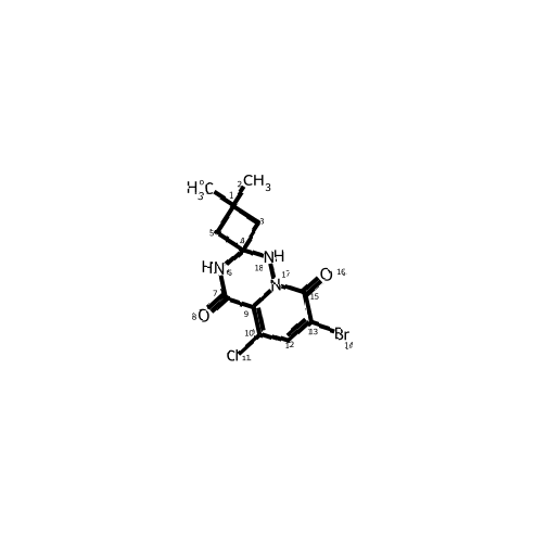 CC1(C)CC2(C1)NC(=O)c1c(Cl)cc(Br)c(=O)n1N2